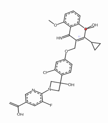 C=C(O)c1cnc(N2CC(O)(c3ccc(OC/C(C(=N)c4c(OC)cccc4OC)=C(/CO)C4CC4)cc3Cl)C2)c(F)c1